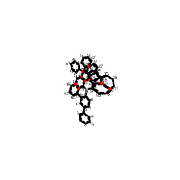 c1ccc(-c2ccc(N(c3ccccc3-c3cccc4cccc(C5CCCCC5)c34)c3cccc4c3-c3ccccc3C4(c3ccccc3)c3ccccc3)c(-c3ccccc3)c2)cc1